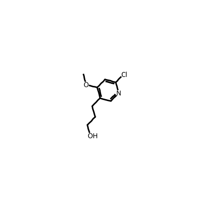 COc1cc(Cl)ncc1CCCO